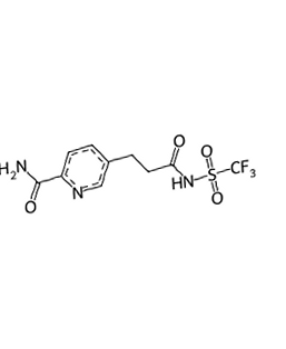 NC(=O)c1ccc(CCC(=O)NS(=O)(=O)C(F)(F)F)cn1